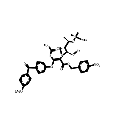 CCS[C@@H]1[C@@H]([C@@H](C)O[Si](C)(C)C(C)(C)C)C(=O)N1C(C(=O)OCc1ccc([N+](=O)[O-])cc1)=C(Oc1ccc(C(=S)c2ccc(OC)cc2)cc1)SC(=O)C(C)(C)C